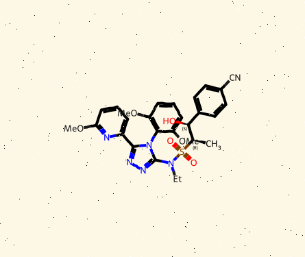 CCN(c1nnc(-c2cccc(OC)n2)n1-c1c(OC)cccc1OC)S(=O)(=O)[C@H](C)[C@@H](O)c1ccc(C#N)cc1